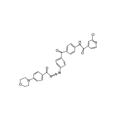 O=C(N=[N+]=Nc1ccc(C(=O)c2ccc(NC(=O)c3ccnc(Cl)c3)cc2)cc1)c1ccc(N2CCOCC2)cc1